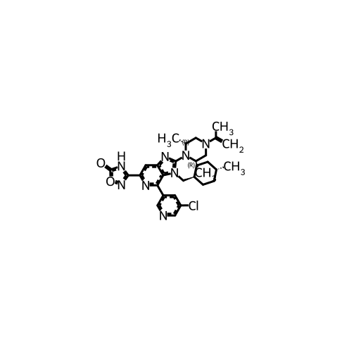 C=C(C)N1C[C@@H](C)N(c2nc3cc(-c4noc(=O)[nH]4)nc(-c4cncc(Cl)c4)c3n2C[C@H]2CC[C@H](C)CC2)[C@H](C)C1